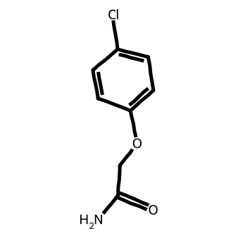 NC(=O)COc1ccc(Cl)cc1